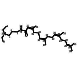 CCN(CC)CCCNC(=O)C=C(C)CCC=C(C)CCC=C(C)CCC=C(C)C